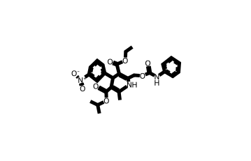 CCOC(=O)C1=C(COC(=O)Nc2ccccc2)NC(C)=C(C(=O)OC(C)C)C1c1cccc([N+](=O)[O-])c1